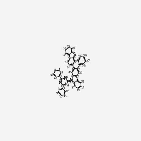 c1ccc(-c2nc(-c3ccccc3)nc(-n3c4ccccc4c4cc5c6ccccc6c6c(ccc7c8ccccc8sc76)c5cc43)n2)cc1